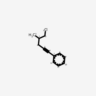 CC(CCl)CC#Cc1ccccc1